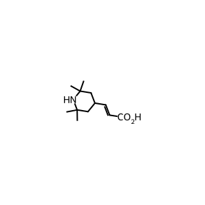 CC1(C)CC(/C=C/C(=O)O)CC(C)(C)N1